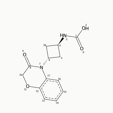 O=C(O)N[C@H]1C[C@H](N2C(=O)COc3ccccc32)C1